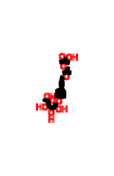 CC(C)(COC(C)(C)C(=O)O)OCC#Cc1ccc(OC2OC(CO)C(O)C(O)C2O)cc1